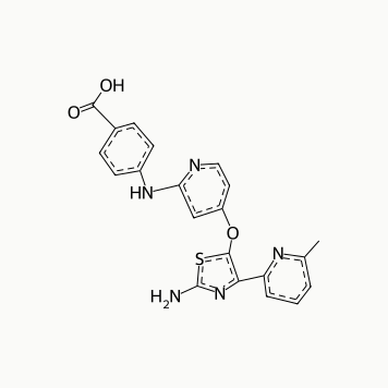 Cc1cccc(-c2nc(N)sc2Oc2ccnc(Nc3ccc(C(=O)O)cc3)c2)n1